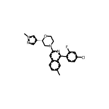 Cc1ccc2cc(N3CCO[C@@H](c4cnn(C)c4)C3)nc(-c3ccc(Cl)cc3F)c2c1